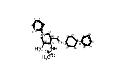 C[C@H]1CN(c2ccccn2)C[C@@H](CO[C@H]2CC[C@@H](c3ccccc3)CC2)[C@H]1NS(C)(=O)=O